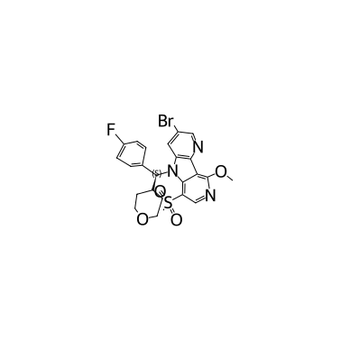 COc1ncc(S(C)(=O)=O)c2c1c1ncc(Br)cc1n2[C@H](c1ccc(F)cc1)C1CCOCC1